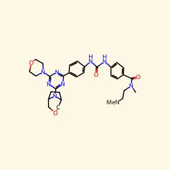 CNCCN(C)C(=O)c1ccc(NC(=O)Nc2ccc(-c3nc(N4CCOCC4)nc(N4C5CCC4COC5)n3)cc2)cc1